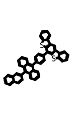 c1ccc2cc(-c3c4ccccc4c(-c4ccc(-c5c6sc7ccccc7c6cc6c5sc5ccccc56)cc4)c4ccccc34)ccc2c1